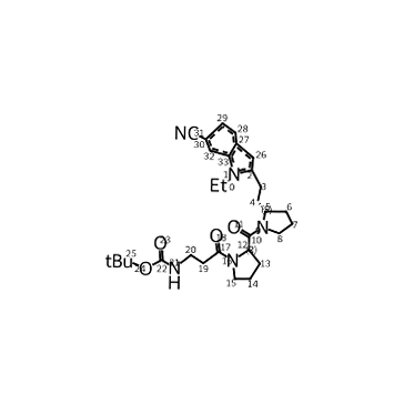 CCn1c(CC[C@@H]2CCCN2C(=O)[C@H]2CCCN2C(=O)CCNC(=O)OC(C)(C)C)cc2ccc(C#N)cc21